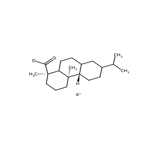 CC(C)C1CC[C@H]2C(CCC3[C@](C)(C(=O)[O-])CCC[C@@]32C)C1.[K+]